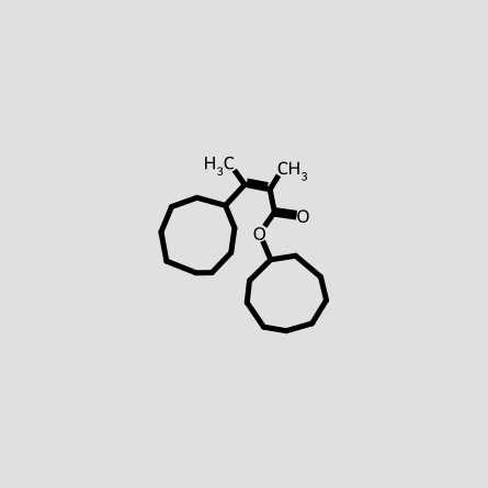 CC(C(=O)OC1CCCCCCCC1)=C(C)C1CCCCCCCC1